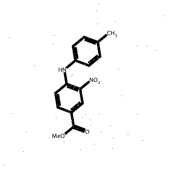 COC(=O)c1ccc(Nc2ccc(C)cc2)c([N+](=O)[O-])c1